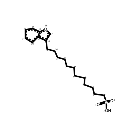 O=S(=O)(O)CCCCCCCCCCCCc1coc2ccccc12